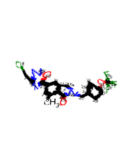 Cc1cc(-c2nc(CCl)no2)cc2c1C(=O)N(Cc1ccc(OC(F)(F)F)cc1)C2